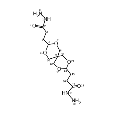 NNC(=O)CCC1OCC2(CO1)COC(CCC(=O)NN)OC2